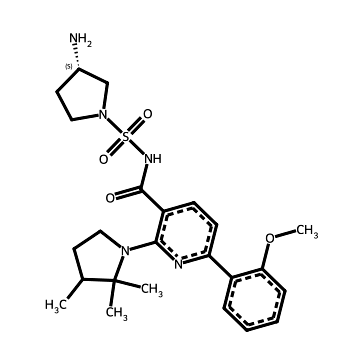 COc1ccccc1-c1ccc(C(=O)NS(=O)(=O)N2CC[C@H](N)C2)c(N2CCC(C)C2(C)C)n1